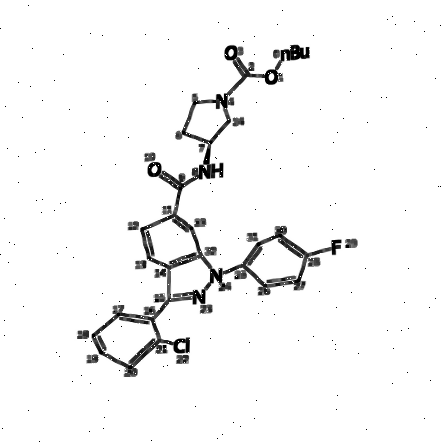 CCCCOC(=O)N1CC[C@H](NC(=O)c2ccc3c(-c4ccccc4Cl)nn(-c4ccc(F)cc4)c3c2)C1